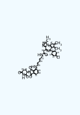 Cc1nnc2n1C1=C(C(c3ccc(Cl)cc3)=N[C@H]2CC(=O)NCCCCCNc2cccc3c2C(=O)N(C2CCC(=O)NC2=O)C3=O)C(C)C(C)S1